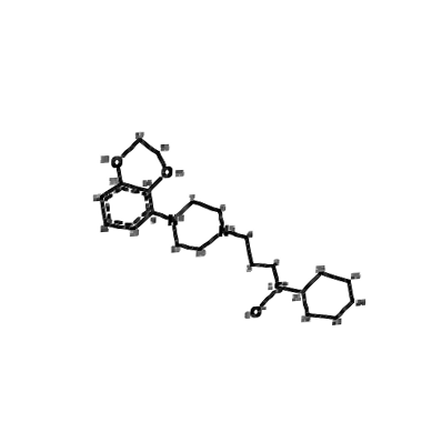 [O-][S+](CCCN1CCN(c2cccc3c2OCCO3)CC1)C1CCCCC1